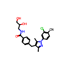 Cc1nn(-c2ccc(C#N)c(Cl)c2)c(C)c1Cc1ccc(C(=O)NCC(O)CO)cc1